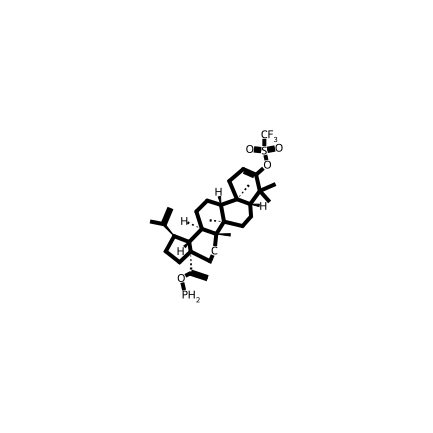 C=C(C)[C@@H]1CC[C@]2(C(=C)OP)CC[C@]3(C)[C@H](CC[C@@H]4[C@@]5(C)CC=C(OS(=O)(=O)C(F)(F)F)C(C)(C)[C@@H]5CC[C@]43C)[C@@H]12